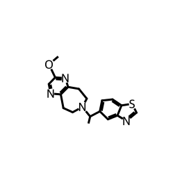 COc1cnc2c(n1)CCN(C(C)c1ccc3scnc3c1)CC2